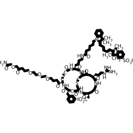 C[N+]1=C(/C=C/C=C/C=C2/N(CCCCCC(=O)NCCCC[C@@H]3NC(=O)CSC[C@@H](C(=O)CCCOCCOCCOCCCC(=O)COCC(N)=O)NC(=O)[C@H](Cc4ccccc4)CC(=O)[C@@H]4CSSC[C@H](NC3=O)C(=O)C[C@@H](CCCNC(=N)N)C(=O)NCC(=O)C[C@@H](CC(=O)O)C(=O)N4)c3ccccc3C2(C)C)C(C)(C)c2cc(S(=O)(=O)O)ccc21